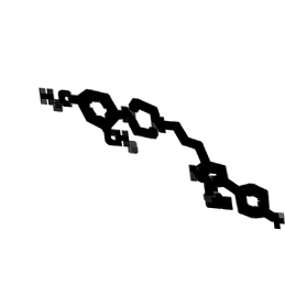 Cc1ccc(N2CCN(CCCc3cc(-c4ccc(F)cc4)n(C(C)(C)C)n3)CC2)c(C)c1